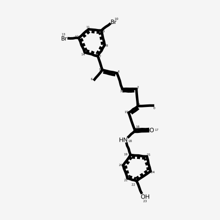 CC(C=CC=C(C)c1cc(Br)cc(Br)c1)=CC(=O)Nc1ccc(O)cc1